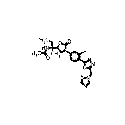 CCC(C)(NC(C)=O)C1CN(c2ccc(-c3nnc(Cn4cncn4)o3)c(F)c2)C(=O)O1